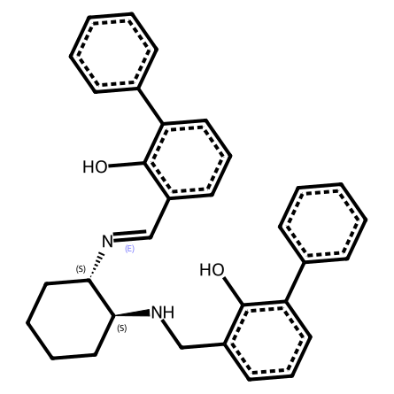 Oc1c(/C=N/[C@H]2CCCC[C@@H]2NCc2cccc(-c3ccccc3)c2O)cccc1-c1ccccc1